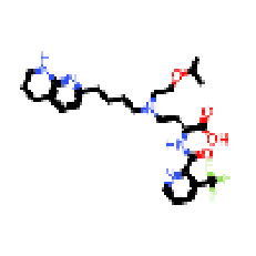 CC(C)OCCN(CCCCc1ccc2c(n1)NCCC2)CC[C@H](NC(=O)c1ncccc1C(F)(F)F)C(=O)O